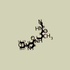 CC(CCNC(=O)c1ccnc(N2CCOCC2)c1)CC(=O)NCC#N